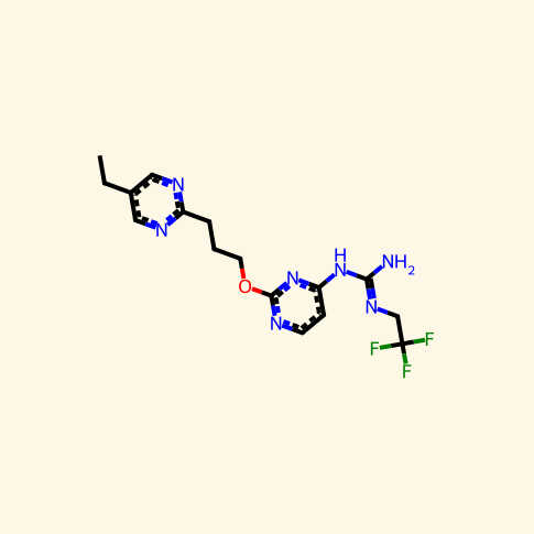 CCc1cnc(CCCOc2nccc(NC(N)=NCC(F)(F)F)n2)nc1